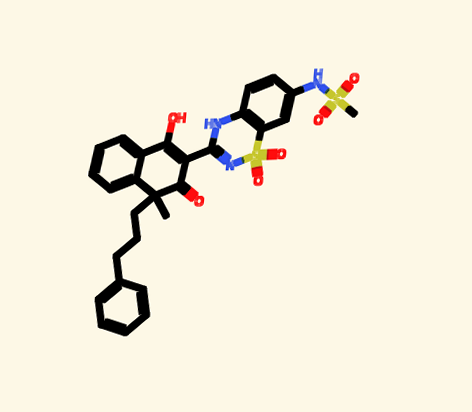 CC1(CCCc2ccccc2)C(=O)C(C2=NS(=O)(=O)c3cc(NS(C)(=O)=O)ccc3N2)=C(O)c2ccccc21